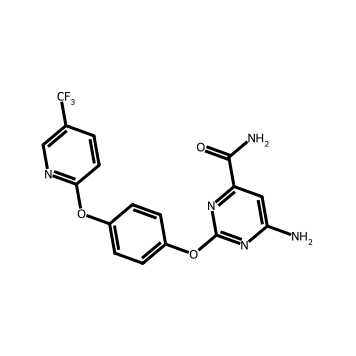 NC(=O)c1cc(N)nc(Oc2ccc(Oc3ccc(C(F)(F)F)cn3)cc2)n1